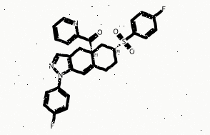 O=C(c1ccccn1)[C@]12Cc3cnn(-c4ccc(F)cc4)c3C=C1CC[C@@H](S(=O)(=O)c1ccc(F)cc1)C2